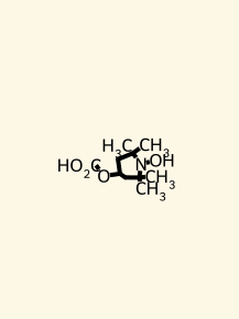 CC1(C)CC(OC(=O)O)CC(C)(C)N1O